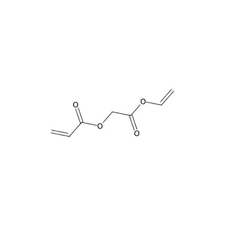 C=COC(=O)COC(=O)C=C